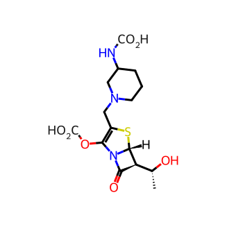 C[C@@H](O)[C@H]1C(=O)N2C(OC(=O)O)=C(CN3CCCC(NC(=O)O)C3)S[C@H]12